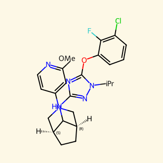 COc1cc(N2C[C@H]3CC[C@@H](C2)C3Nc2nc(Oc3cccc(Cl)c3F)n(C(C)C)n2)ccn1